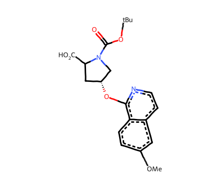 COc1ccc2c(O[C@@H]3CC(C(=O)O)N(C(=O)OC(C)(C)C)C3)nccc2c1